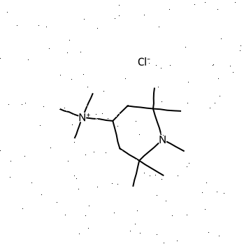 CN1C(C)(C)CC([N+](C)(C)C)CC1(C)C.[Cl-]